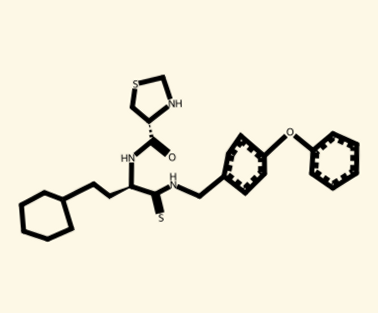 O=C(N[C@H](CCC1CCCCC1)C(=S)NCc1ccc(Oc2ccccc2)cc1)[C@@H]1CSCN1